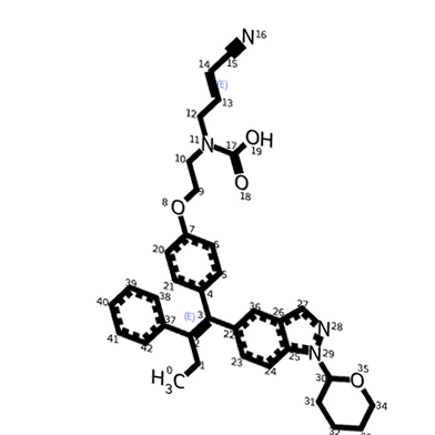 CC/C(=C(/c1ccc(OCCN(C/C=C/C#N)C(=O)O)cc1)c1ccc2c(cnn2C2CCCCO2)c1)c1ccccc1